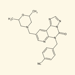 CC1CN(Cc2cnc3c(c2)c2ncnn2c(=O)n3Cc2ccc(C#N)cc2)CC(C)O1